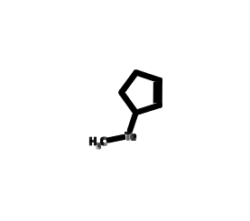 C[Te]C1C=CCC1